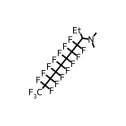 CCC(N(C)C)C(F)(F)C(F)(F)C(F)(F)C(F)(F)C(F)(F)C(F)(F)C(F)(F)C(F)(F)F